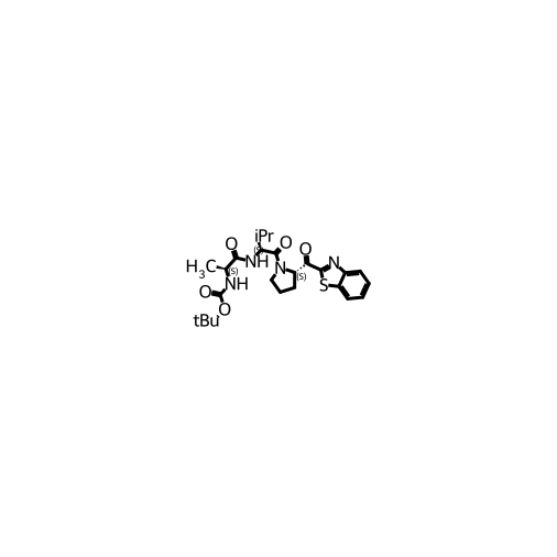 CC(C)[C@H](NC(=O)[C@H](C)NC(=O)OC(C)(C)C)C(=O)N1CCC[C@H]1C(=O)c1nc2ccccc2s1